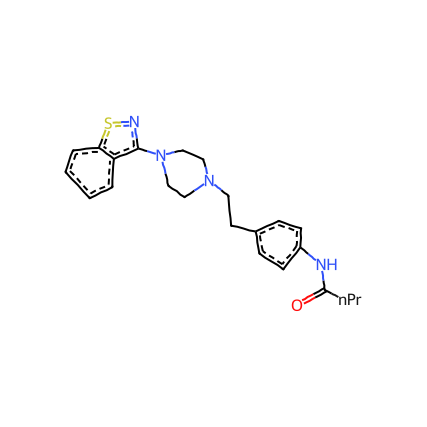 CCCC(=O)Nc1ccc(CCN2CCN(c3nsc4ccccc34)CC2)cc1